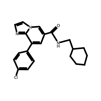 O=C(NCC1CCCCC1)c1cc(-c2ccc(Cl)cc2)c2nccn2c1